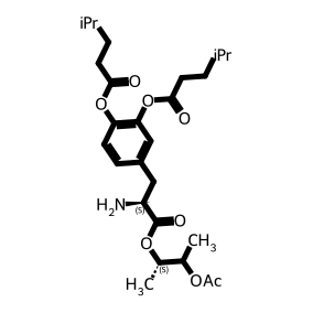 CC(=O)OC(C)[C@H](C)OC(=O)[C@@H](N)Cc1ccc(OC(=O)CCC(C)C)c(OC(=O)CCC(C)C)c1